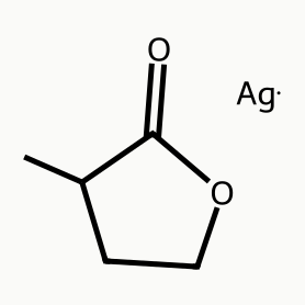 CC1CCOC1=O.[Ag]